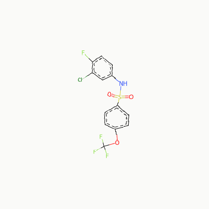 O=S(=O)(Nc1ccc(F)c(Cl)c1)c1ccc(OC(F)(F)F)cc1